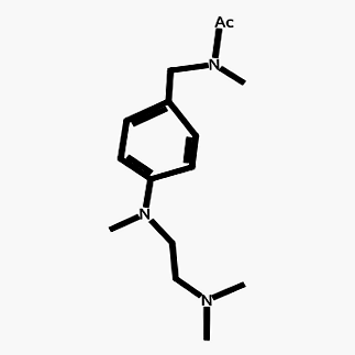 CC(=O)N(C)Cc1ccc(N(C)CCN(C)C)cc1